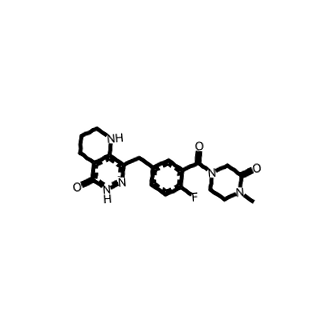 CN1CCN(C(=O)c2cc(Cc3n[nH]c(=O)c4c3NCCC4)ccc2F)CC1=O